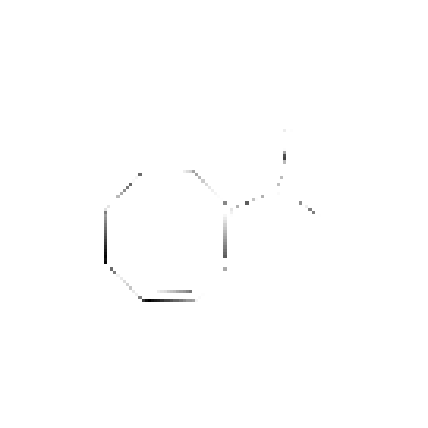 [Cl][Ru]([Cl])[C]1=CC=CCCCC1